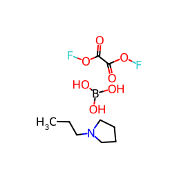 CCCN1CCCC1.O=C(OF)C(=O)OF.OB(O)O